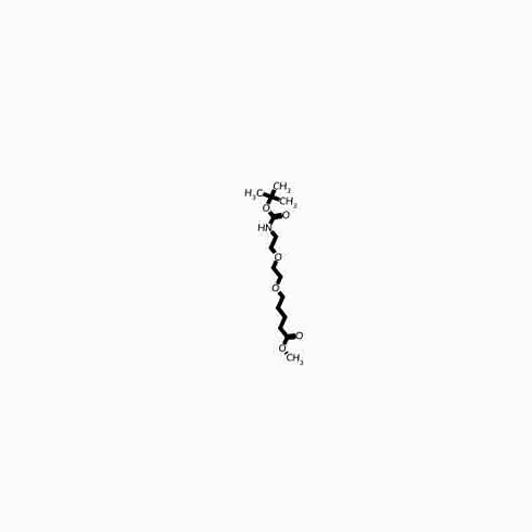 COC(=O)CCCCOCCOCCNC(=O)OC(C)(C)C